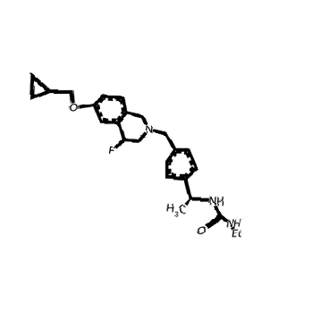 CCNC(=O)N[C@@H](C)c1ccc(CN2Cc3ccc(OCC4CC4)cc3C(F)C2)cc1